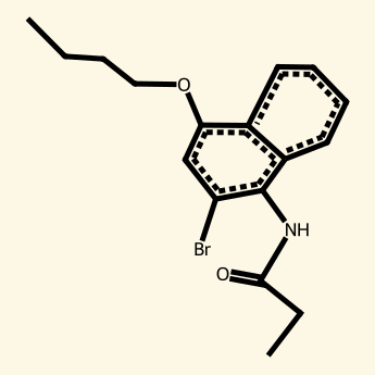 CCCCOc1cc(Br)c(NC(=O)CC)c2ccccc12